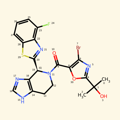 CC(C)(O)c1nc(Br)c(C(=O)N2CCc3[nH]cnc3[C@H]2c2nc3c(F)cccc3s2)o1